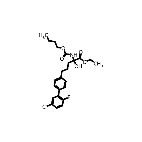 CCCCOC(=O)NC(O)(CCCc1ccc(-c2cc(Cl)ccc2F)cc1)C(=O)OCC